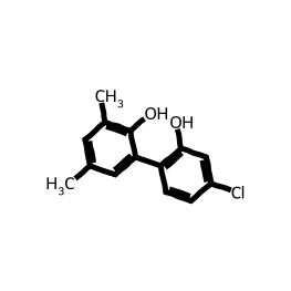 Cc1cc(C)c(O)c(-c2ccc(Cl)cc2O)c1